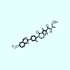 Cc1cc(-c2ncc3cc(C(F)(F)F)ccc3n2)ccc1N1CCn2nc(C(=O)NC(C)CO)c(C)c2C1=O